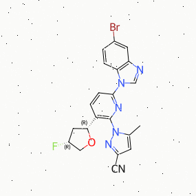 Cc1cc(C#N)nn1-c1nc(-n2cnc3cc(Br)ccc32)ccc1[C@H]1C[C@@H](F)CO1